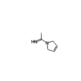 CC(=N)N1CC=CC1